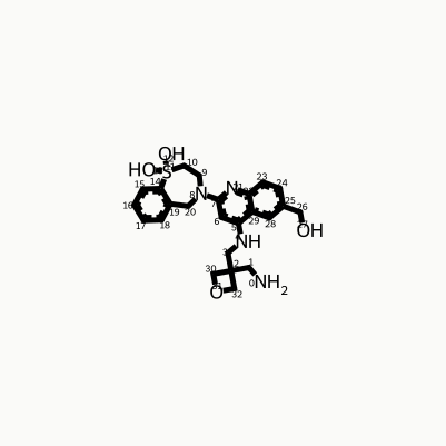 NCC1(CNc2cc(N3CCS(O)(O)c4ccccc4C3)nc3ccc(CO)cc23)COC1